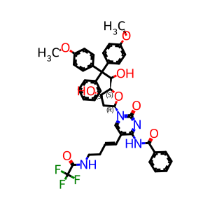 COc1ccc(C(c2ccccc2)(c2ccc(OC)cc2)C(O)[C@H]2O[C@@H](n3cc(C=CCCNC(=O)C(F)(F)F)c(NC(=O)c4ccccc4)nc3=O)C[C@@H]2O)cc1